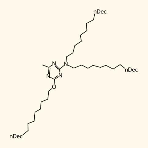 CCCCCCCCCCCCCCCCCCOc1nc(C)nc(N(CCCCCCCCCCCCCCCCCC)CCCCCCCCCCCCCCCCCC)n1